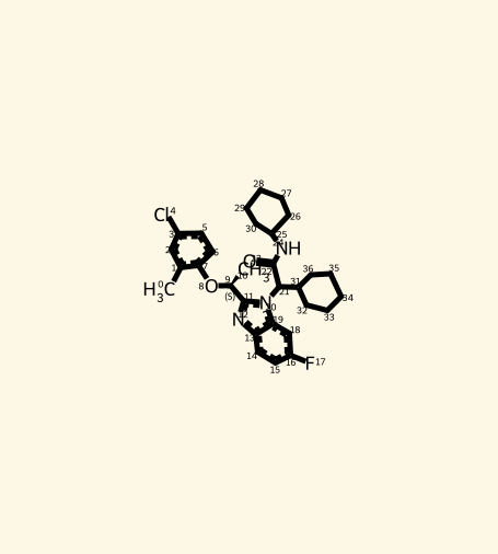 Cc1cc(Cl)ccc1O[C@@H](C)c1nc2ccc(F)cc2n1C(C(=O)NC1CCCCC1)C1CCCCC1